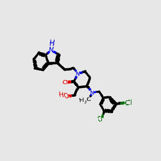 CN(Cc1cc(Cl)cc(Cl)c1)C1CCN(CCc2c[nH]c3ccccc23)C(=O)C1CO